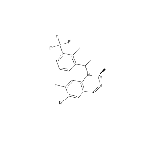 Cc1c(C(C)N2c3cc(F)c(Br)cc3C=N[C@@H]2C)cccc1C(F)(F)F